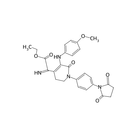 CCOC(=O)C(=N)C1=C(Nc2ccc(OC)cc2)C(=O)N(c2ccc(N3C(=O)CCC3=O)cc2)CC1